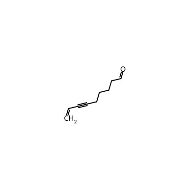 C=CC#CCCCCC=O